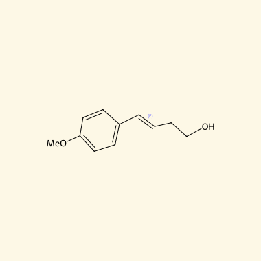 COc1ccc(/C=C/CCO)cc1